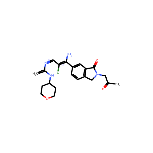 C=C(/N=C\C(Cl)=C(/N)c1ccc2c(c1)C(=O)N(CC(C)=O)C2)NC1CCOCC1